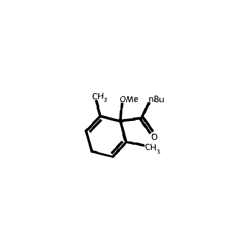 CCCCC(=O)C1(OC)C(C)=CCC=C1C